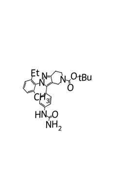 CCc1cccc(C)c1-n1nc2c(c1-c1ccc(NC(N)=O)cc1)CN(C(=O)OC(C)(C)C)CC2